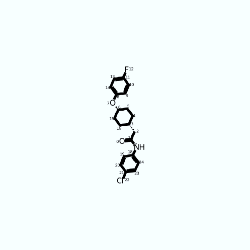 O=C(C[C@H]1CC[C@@H](Oc2ccc(F)cc2)CC1)Nc1ccc(Cl)cc1